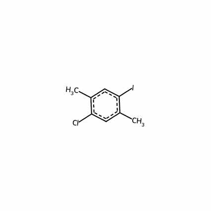 Cc1cc(I)c(C)cc1Cl